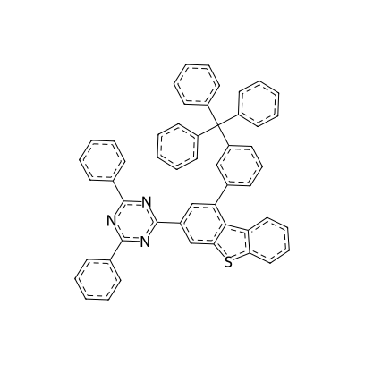 c1ccc(-c2nc(-c3ccccc3)nc(-c3cc(-c4cccc(C(c5ccccc5)(c5ccccc5)c5ccccc5)c4)c4c(c3)sc3ccccc34)n2)cc1